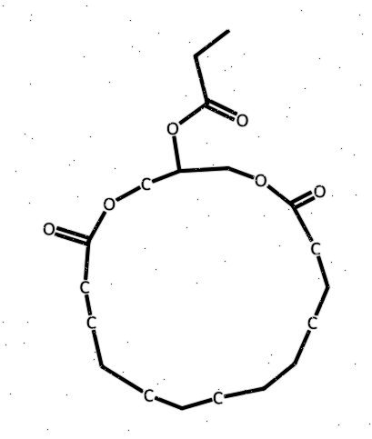 CCC(=O)OC1COC(=O)CCCCCCCCCCCC(=O)OC1